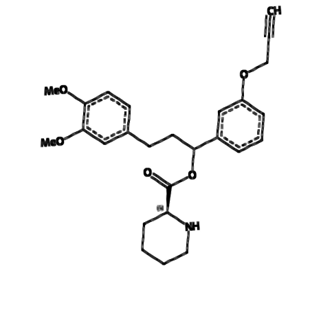 C#CCOc1cccc(C(CCc2ccc(OC)c(OC)c2)OC(=O)[C@@H]2CCCCN2)c1